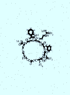 C[C@H]1CCC(=O)CCNCCCC[C@@H](C(N)=O)NC(=O)[C@H](Cc2c[nH]c3ccccc23)NC(=O)[C@H](CCCNC(=N)N)NC(=O)[C@@H](Cc2ccccc2)NC(=O)[C@H](CC(N)=O)NC1=O